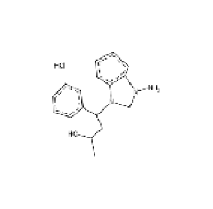 CC(O)CC(c1ccccc1)N1CN(N)c2ccccc21.Cl